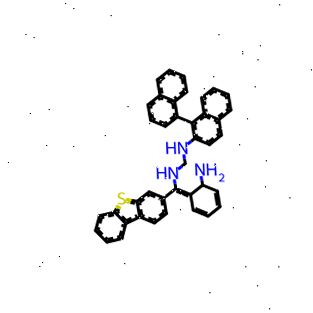 NC1C=CC=C/C1=C(/NCNc1ccc2ccccc2c1-c1cccc2ccccc12)c1ccc2c(c1)sc1ccccc12